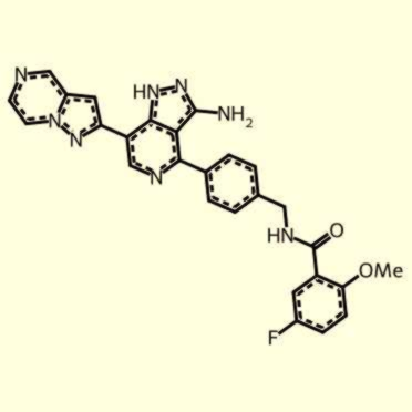 COc1ccc(F)cc1C(=O)NCc1ccc(-c2ncc(-c3cc4cnccn4n3)c3[nH]nc(N)c23)cc1